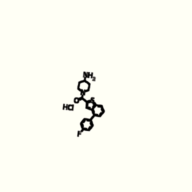 Cl.NC1CCN(C(=O)c2cc3c(-c4ccc(F)cc4)cccc3s2)CC1